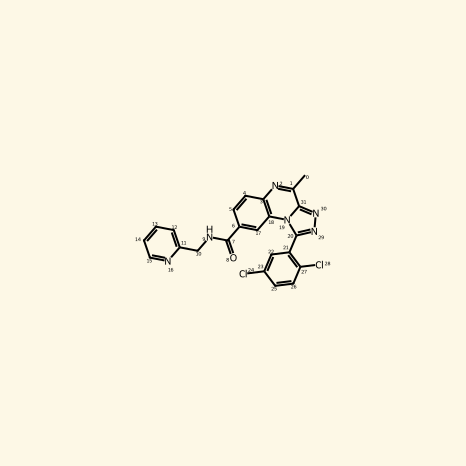 Cc1nc2ccc(C(=O)NCc3ccccn3)cc2n2c(-c3cc(Cl)ccc3Cl)nnc12